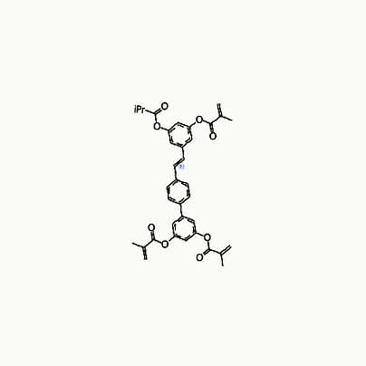 C=C(C)C(=O)Oc1cc(/C=C/c2ccc(-c3cc(OC(=O)C(=C)C)cc(OC(=O)C(=C)C)c3)cc2)cc(OC(=O)C(C)C)c1